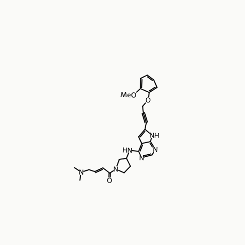 COc1ccccc1OCC#Cc1cc2c(NC3CCN(C(=O)/C=C/CN(C)C)C3)ncnc2[nH]1